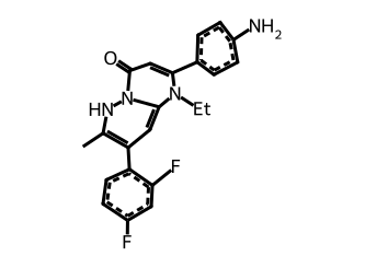 CCN1C(c2ccc(N)cc2)=CC(=O)N2NC(C)=C(c3ccc(F)cc3F)C=C12